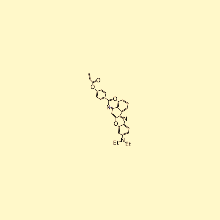 C=CC(=O)Oc1ccc(C(=O)/N=c2/cc3oc4cc(N(CC)CC)ccc4nc-3c3ccccc23)cc1